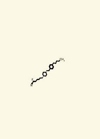 CCCCCc1ccc(CC[C@H]2CC[C@H](CC/C=C/C=C(\F)C#N)CC2)cc1